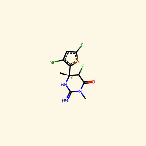 CN1C(=N)N[C@](C)(c2sc(F)cc2Br)C(F)C1=O